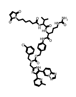 Cc1cccc(-c2nc(CN(Cc3cccc(Cl)c3)C(=O)OCc3ccc(NC(=O)C(CCCNC(N)=O)NC(=O)C(NC(=O)CCCCCN4C(=O)C=CC4=O)C(C)C)cc3)[nH]c2-c2ccc3ncnn3c2)n1